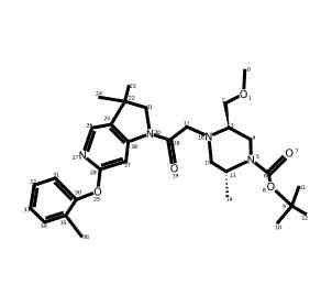 COC[C@H]1CN(C(=O)OC(C)(C)C)[C@H](C)CN1CC(=O)N1CC(C)(C)c2cnc(Oc3ccccc3C)cc21